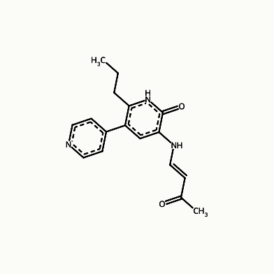 CCCc1[nH]c(=O)c(NC=CC(C)=O)cc1-c1ccncc1